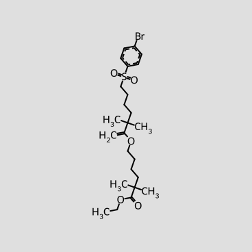 C=C(OCCCCC(C)(C)C(=O)OCC)C(C)(C)CCCCS(=O)(=O)c1ccc(Br)cc1